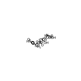 NC(C(=O)NC1C(=O)N2C(C(=O)O)=C(CSc3nnc(CS(=O)(=O)O)o3)CS[C@@H]12)c1ccc(NC=O)cc1